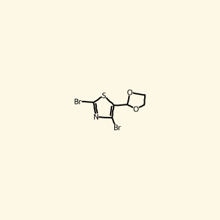 Brc1nc(Br)c(C2OCCO2)s1